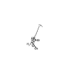 Br.CCCCCCCCCCCCCCOc1ccc(CN(C(C)=O)c2cccc(Cc3cccnc3)c2)cc1OC